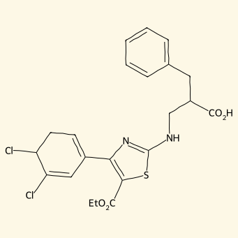 CCOC(=O)c1sc(NCC(Cc2ccccc2)C(=O)O)nc1C1=CCC(Cl)C(Cl)=C1